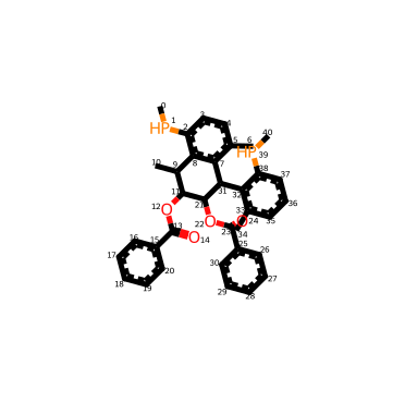 CPc1ccc(C)c2c1C(C)C(OC(=O)c1ccccc1)C(OC(=O)c1ccccc1)C2c1c(C)cccc1PC